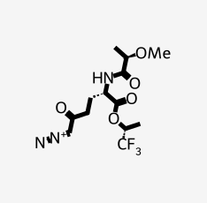 CO[C@H](C)C(=O)N[C@@H](CCC(=O)C=[N+]=[N-])C(=O)O[C@H](C)C(F)(F)F